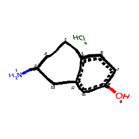 Cl.NC1CCc2ccc(O)cc2C1